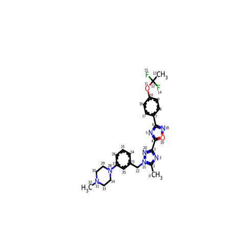 Cc1nc(-c2nc(-c3ccc(OC(C)(F)F)cc3)no2)nn1Cc1cccc(N2CCN(C)CC2)c1